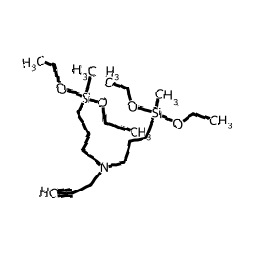 C#CCN(CCC[Si](C)(OCC)OCC)CCC[Si](C)(OCC)OCC